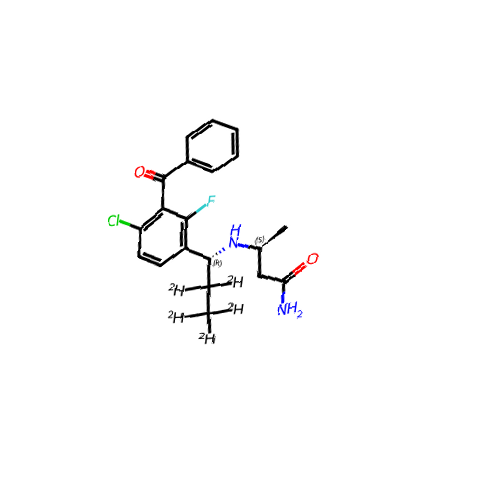 [2H]C([2H])([2H])C([2H])([2H])[C@@H](N[C@@H](C)CC(N)=O)c1ccc(Cl)c(C(=O)c2ccccc2)c1F